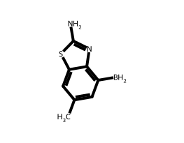 Bc1cc(C)cc2sc(N)nc12